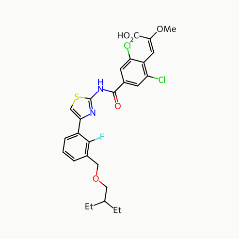 CCC(CC)COCc1cccc(-c2csc(NC(=O)c3cc(Cl)c(C=C(OC)C(=O)O)c(Cl)c3)n2)c1F